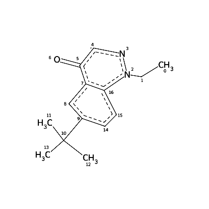 CCn1n[c]c(=O)c2cc(C(C)(C)C)ccc21